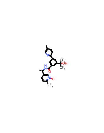 Cc1ccc(-c2cc(C(=O)N[C@H](C)c3ccc(C(F)(F)F)[n+]([O-])c3)cc(C(O)(C(F)(F)F)C(F)(F)F)c2)nc1